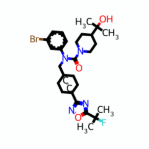 CC(C)(F)c1nc(C23CCC(CN(C(=O)N4CCC(C(C)(C)O)CC4)c4cccc(Br)c4)(CC2)CC3)no1